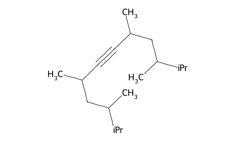 CC(C#CC(C)CC(C)C(C)C)CC(C)C(C)C